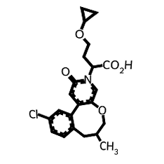 CC1COc2cn(C(CCOC3CC3)C(=O)O)c(=O)cc2-c2cc(Cl)ccc2C1